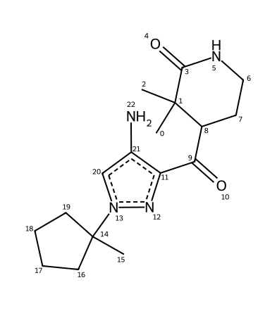 CC1(C)C(=O)NCCC1C(=O)c1nn(C2(C)CCCC2)cc1N